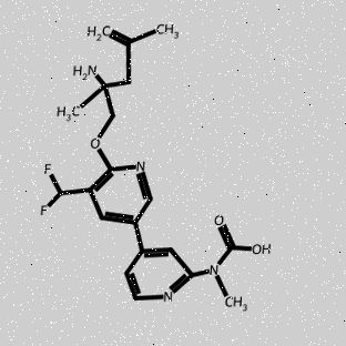 C=C(C)CC(C)(N)COc1ncc(-c2ccnc(N(C)C(=O)O)c2)cc1C(F)F